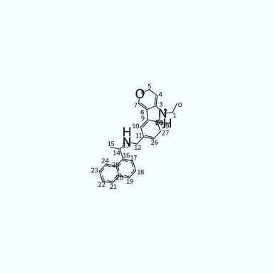 CCN1C2=CCOC=C2C2=CC(CNC(C)c3cccc4ccccc34)=CC[C@H]21